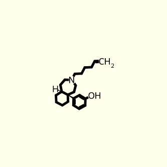 C=CCCCCN1CC[C@@H]2CCCC[C@@]2(c2cccc(O)c2)CC1